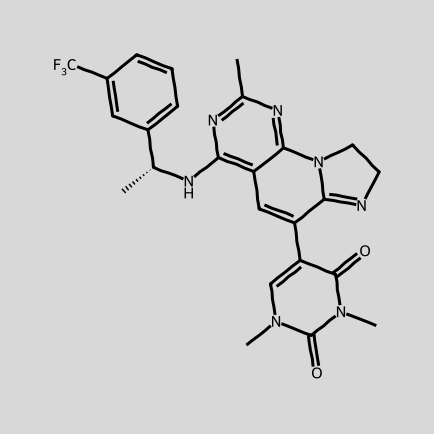 Cc1nc(N[C@H](C)c2cccc(C(F)(F)F)c2)c2c(n1)N1CCN=C1C(c1cn(C)c(=O)n(C)c1=O)=C2